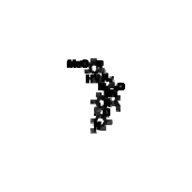 C=CCn1c(=O)c2cnc(Nc3cncc(OC)c3)nc2n1-c1cccc(OC2CCN(C)CC2)n1